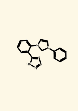 C1=CN(c2ccccc2-c2nnn[nH]2)CN1c1ccccc1